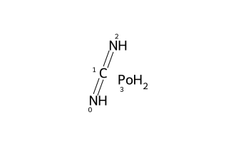 N=C=N.[PoH2]